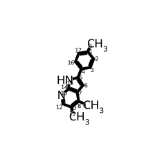 Cc1ccc(-c2cc3c(C)c(C)cnc3[nH]2)cc1